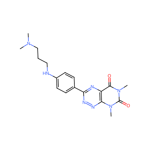 CN(C)CCCNc1ccc(-c2nnc3c(n2)c(=O)n(C)c(=O)n3C)cc1